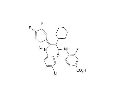 O=C(O)c1ccc(NC(=O)C(c2c3cc(F)c(F)cc3nn2-c2ccc(Cl)cc2)C2CCCCC2)c(F)c1